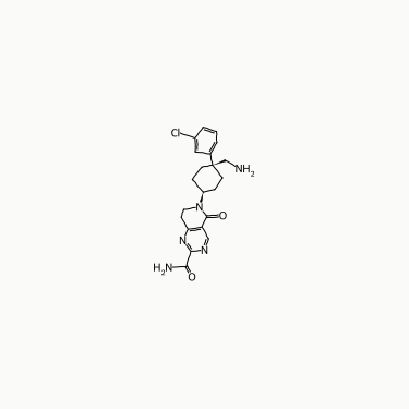 NC[C@]1(c2cccc(Cl)c2)CC[C@H](N2CCc3nc(C(N)=O)ncc3C2=O)CC1